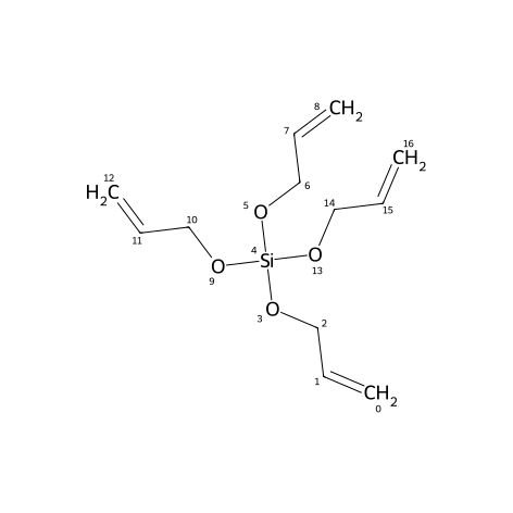 C=CCO[Si](OCC=C)(OCC=C)OCC=C